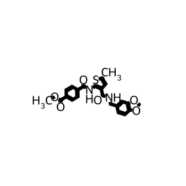 COC(=O)c1ccc(C(=O)Nc2sc(C)cc2C(=O)NCc2ccc3c(c2)OCO3)cc1